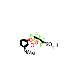 CNc1cccc(OS(=O)(=O)C(F)(F)C(F)(F)C(F)(F)S(=O)(=O)O)c1